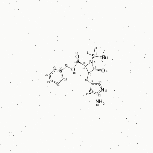 CC(C)(C)[Si](C)(C)N1C(=O)C(Cc2cnc(N)s2)[C@H]1C(=O)OCc1ccccc1